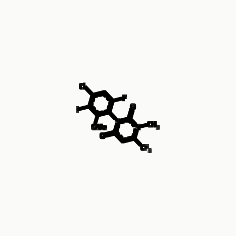 COc1c(I)c(Cl)cc(F)c1-n1c(=O)cc(C(F)(F)F)n(C)c1=O